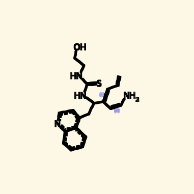 C=C/C=C(\C=C/N)C(Cc1ccnc2ccccc12)NC(=S)NCCO